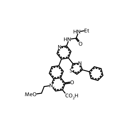 CCNC(=O)Nc1cc(-c2nc(-c3ccccc3)cs2)c(-c2ccc3c(c2)c(=O)c(C(=O)O)cn3CCOC)cn1